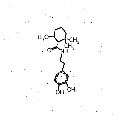 C[C@H]1CCCC(C)(C)[C@@H]1C(=O)NCCc1ccc(O)c(O)c1